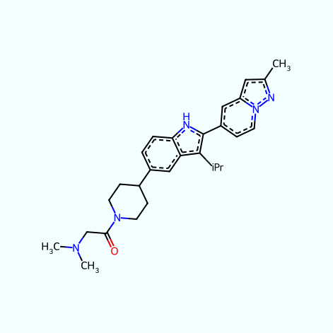 Cc1cc2cc(-c3[nH]c4ccc(C5CCN(C(=O)CN(C)C)CC5)cc4c3C(C)C)ccn2n1